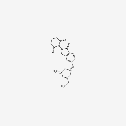 CCN1C[C@H](C)C[C@@H](Oc2ccc3c(c2)CN(N2C(=O)CCCC2=O)C3=O)C1